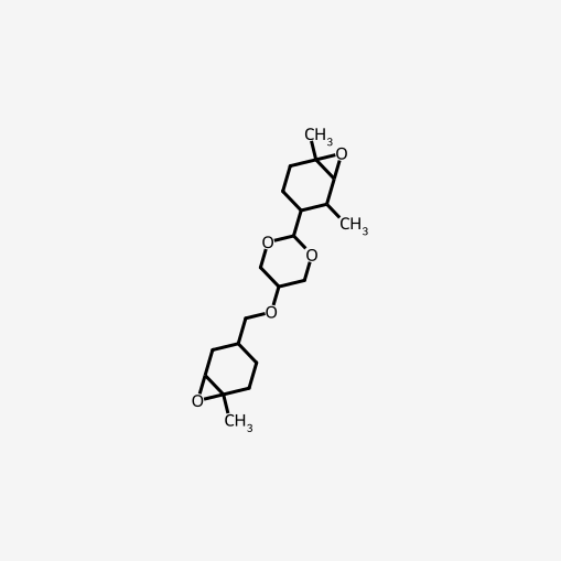 CC1C(C2OCC(OCC3CCC4(C)OC4C3)CO2)CCC2(C)OC12